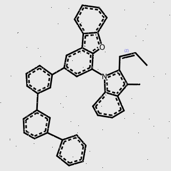 C/C=C\c1c(C)c2ccccc2n1-c1cc(-c2cccc(-c3cccc(-c4ccccc4)c3)c2)cc2c1oc1ccccc12